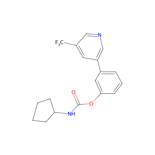 O=C(NC1CCCC1)Oc1cccc(-c2cncc(C(F)(F)F)c2)c1